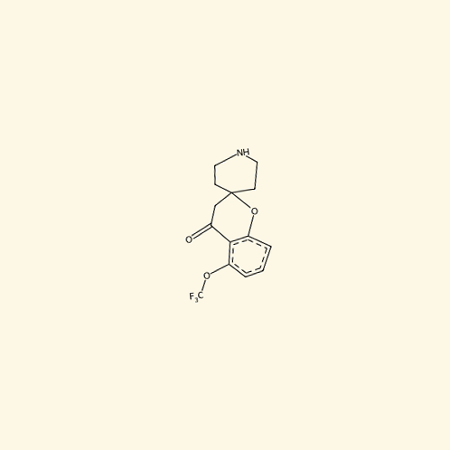 O=C1CC2(CCNCC2)Oc2cccc(OC(F)(F)F)c21